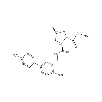 CC(C)(C)OC(=O)N1C[C@H](F)C[C@@H]1C(=O)NCc1cc(-c2ccc(C(F)(F)F)nc2)ncc1C#N